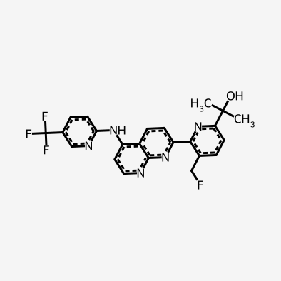 CC(C)(O)c1ccc(CF)c(-c2ccc3c(Nc4ccc(C(F)(F)F)cn4)ccnc3n2)n1